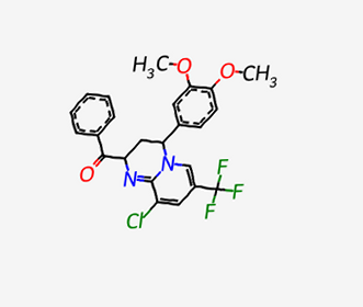 COc1ccc(C2CC(C(=O)c3ccccc3)N=C3C(Cl)=CC(C(F)(F)F)=CN32)cc1OC